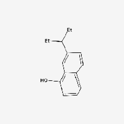 CCC(CC)c1ccc2cccc(O)c2c1